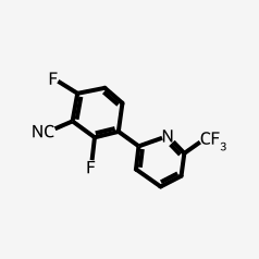 N#Cc1c(F)ccc(-c2cccc(C(F)(F)F)n2)c1F